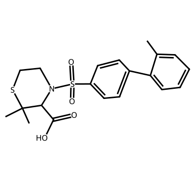 Cc1ccccc1-c1ccc(S(=O)(=O)N2CCSC(C)(C)C2C(=O)O)cc1